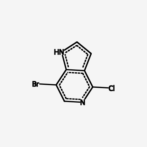 Clc1ncc(Br)c2[nH]ccc12